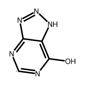 Oc1n[c]nc2nn[nH]c12